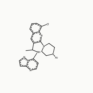 CC(=O)N1CCN(c2nc3c(Cl)cccc3cc2C(C)Nc2ccnc3ccnn23)CC1